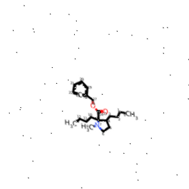 CCCCC1CCN(C)C1(CCCC)C(=O)OCc1ccccc1